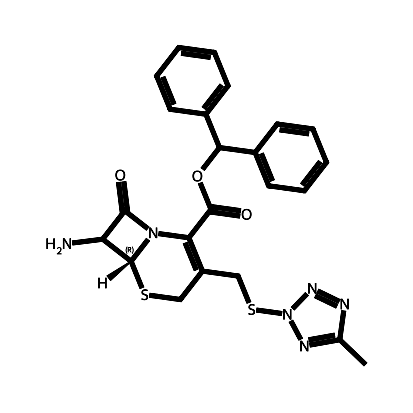 Cc1nnn(SCC2=C(C(=O)OC(c3ccccc3)c3ccccc3)N3C(=O)C(N)[C@H]3SC2)n1